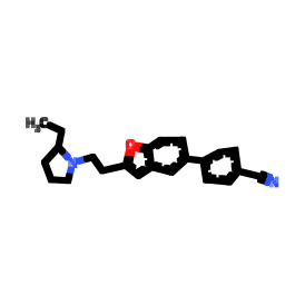 CCC1CCCN1CCc1cc2cc(-c3ccc(C#N)cc3)ccc2o1